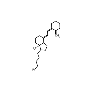 C=C1CCCC/C1=C/C=C1\CCCC2(C)C(CCCCC(C)C)CCC12